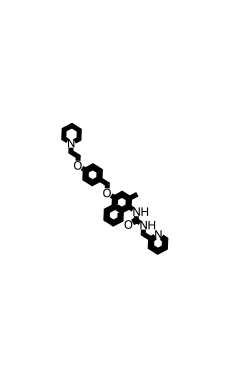 Cc1cc(OCc2ccc(OCCN3CCCCC3)cc2)c2ccccc2c1NC(=O)NCc1ccccn1